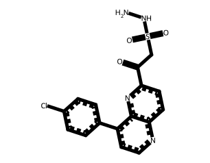 NNS(=O)(=O)CC(=O)c1ccc2nccc(-c3ccc(Cl)cc3)c2n1